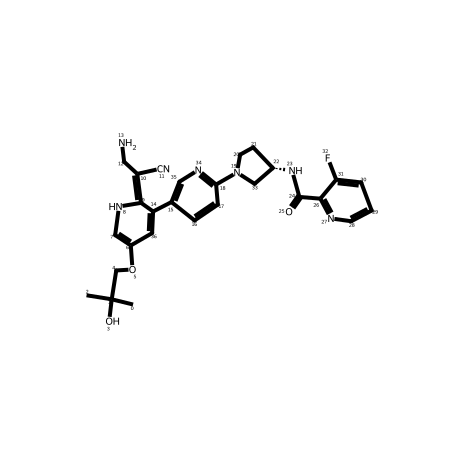 CC(C)(O)COC1=CN/C(=C(/C#N)CN)C(c2ccc(N3CC[C@H](NC(=O)c4ncccc4F)C3)nc2)=C1